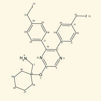 NCC1(Oc2cnc(-c3ccc(CI)cc3)c(-c3ccc(CI)cc3)n2)CCCCC1